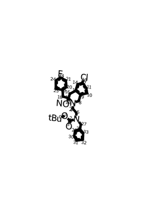 CC(C)(C)OC(=O)N(CCN1Cc2ccc(Cl)cc2CC1(Cc1ccc(F)cc1)[N+](=O)[O-])Cc1ccccc1